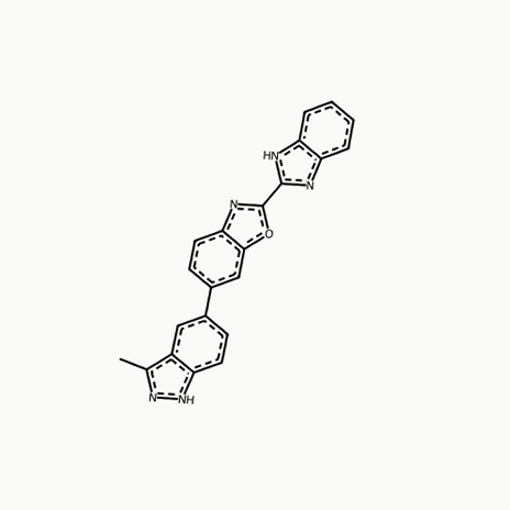 Cc1n[nH]c2ccc(-c3ccc4nc(-c5nc6ccccc6[nH]5)oc4c3)cc12